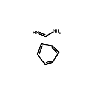 N=CN.c1ccccc1